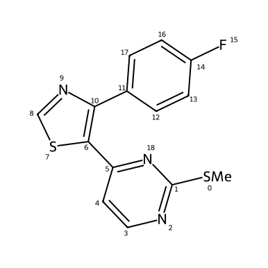 CSc1nccc(-c2scnc2-c2ccc(F)cc2)n1